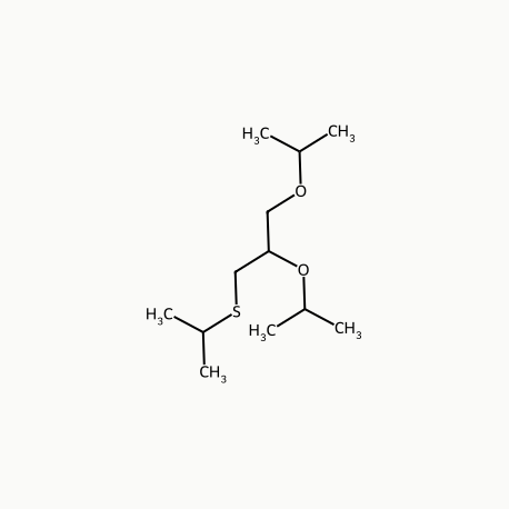 CC(C)OCC(CSC(C)C)OC(C)C